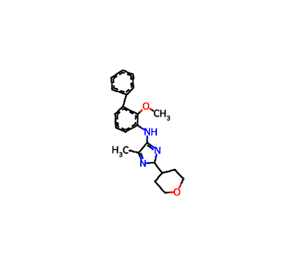 COc1c(NC2=NC(C3CCOCC3)N=C2C)cccc1-c1ccccc1